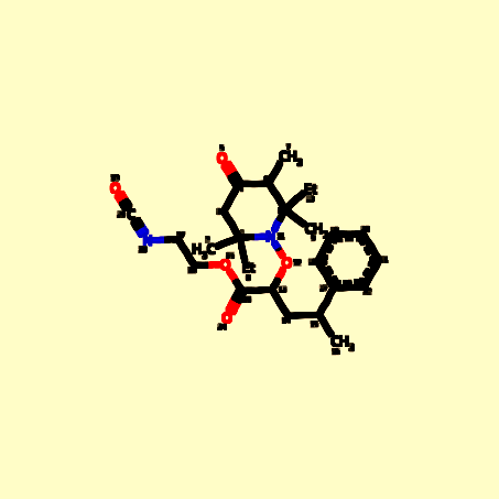 CCC1(C)CC(=O)C(C)C(C)(CC)N1OC(CC(C)c1ccccc1)C(=O)OCCN=C=O